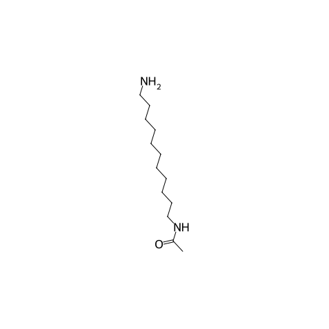 CC(=O)NCCCCCCCCCCCN